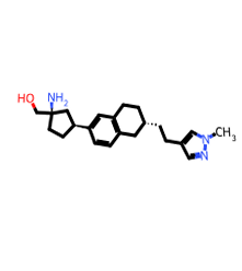 Cn1cc(CC[C@H]2CCc3cc([C@H]4CC[C@](N)(CO)C4)ccc3C2)cn1